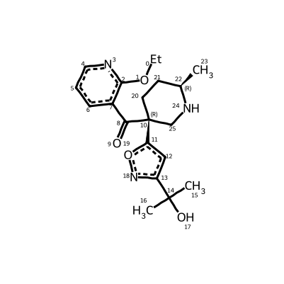 CCOc1ncccc1C(=O)[C@]1(c2cc(C(C)(C)O)no2)CC[C@@H](C)NC1